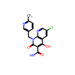 [NH]C(=O)c1c(O)c2cc(Cl)cnc2n(Cc2ccc(C(F)(F)F)nc2)c1=O